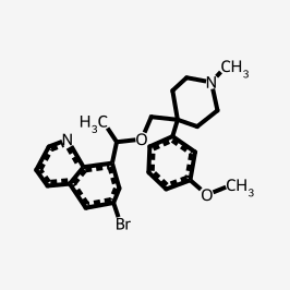 COc1cccc(C2(COC(C)c3cc(Br)cc4cccnc34)CCN(C)CC2)c1